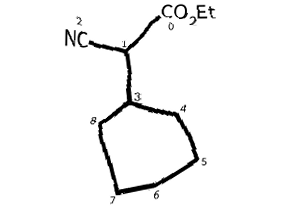 CCOC(=O)C(C#N)C1CCCCC1